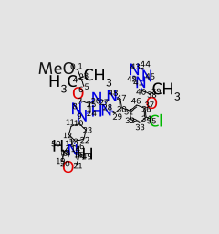 COCC(C)(C)COc1nn(C2CCC(N3[C@@H]4CC[C@H]3COC4)CC2)cc1Nc1ncc(-c2ccc(Cl)c(OC(C)Cn3cncn3)c2)cn1